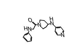 O=C(CNc1ccccc1)N1CCC(Nc2ccncc2)CC1